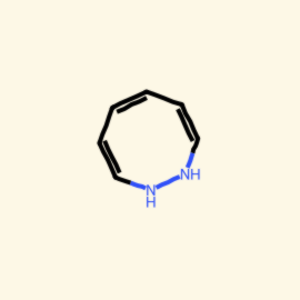 c1ccc[nH][nH]cc1